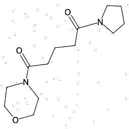 O=C(CCCC(=O)N1CCOCC1)N1CCCC1